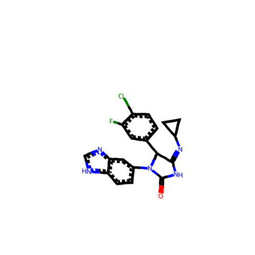 O=C1N/C(=N/C2CC2)C(c2ccc(Cl)c(F)c2)N1c1ccc2[nH]cnc2c1